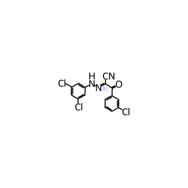 N#C/C(=N\Nc1cc(Cl)cc(Cl)c1)C(=O)c1cccc(Cl)c1